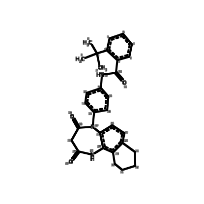 CC(C)(C)c1ccccc1C(=O)Nc1ccc(N2C(=O)CC(=O)Nc3c2ccc2c3CCCC2)cc1